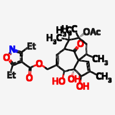 CCc1noc(CC)c1C(=O)OCC1=CC2C(=O)C3(C=C(C)C(O)[C@@]3(O)C1O)C(C)C[C@@](C)(OC(C)=O)C2(C)C